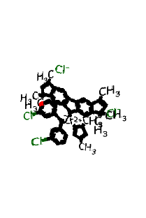 CC1=CC(C)[C]([Zr+2](=[C](c2cccc(Cl)c2)c2cccc(Cl)c2)[CH]2c3cc4c(cc3-c3cc5c(cc32)C(C)(C)C=C5C)C(C)=CC4(C)C)=C1.[Cl-].[Cl-]